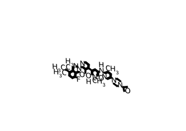 Cc1cc(N2CCN(C3COC3)CC2)cnc1Nc1cc(-c2ccnc(-n3ncc4c(C(C)(C)C)ccc(F)c4c3=O)c2CO)cn(C)c1=O